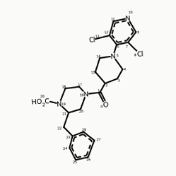 O=C(C1CCN(c2c(Cl)cncc2Cl)CC1)N1CCN(C(=O)O)C(Cc2ccccc2)C1